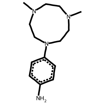 CN1CCN(C)CCN(c2ccc(N)cc2)CC1